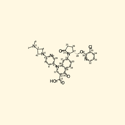 CN(C)C1CN(c2ccc(-n3cc(C(=O)O)c(=O)c4ccc(N5C(=O)CC[C@@H]5COc5ncccc5Cl)cc43)cn2)C1